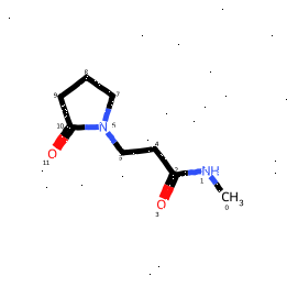 CNC(=O)CCN1CCCC1=O